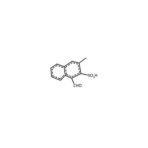 Cc1cc2ccccc2c(C=O)c1S(=O)(=O)O